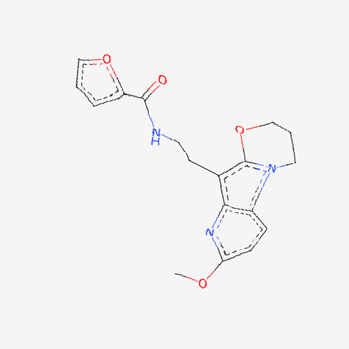 COc1ccc2c(n1)c(CCNC(=O)c1ccco1)c1n2CCCO1